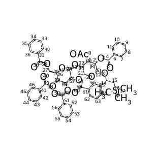 CC(=O)O[C@@H]1[C@@H](OC(=O)c2ccccc2)[C@H](OCC[Si](C)(C)C)OC[C@H]1O[C@@H]1O[C@H](COC(=O)c2ccccc2)[C@H](OC(=O)c2ccccc2)[C@H](OC(=O)c2ccccc2)[C@H]1OC(=O)c1ccccc1